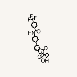 O=C(Nc1ccc(-c2ccc3c(c2)C(=O)N(C2(C(=O)O)CCC2)C3)cc1)c1ccc(C(F)(F)F)cc1